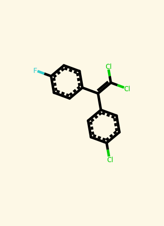 Fc1ccc(C(=C(Cl)Cl)c2ccc(Cl)cc2)cc1